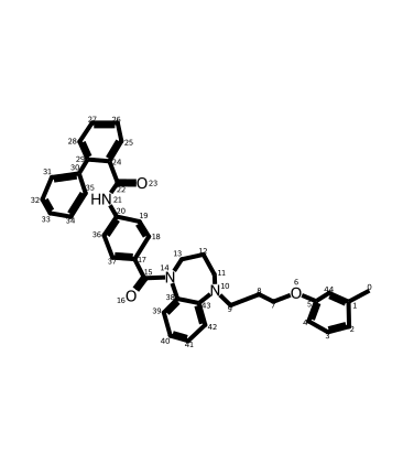 Cc1cccc(OCCCN2CCCN(C(=O)c3ccc(NC(=O)c4ccccc4-c4ccccc4)cc3)c3ccccc32)c1